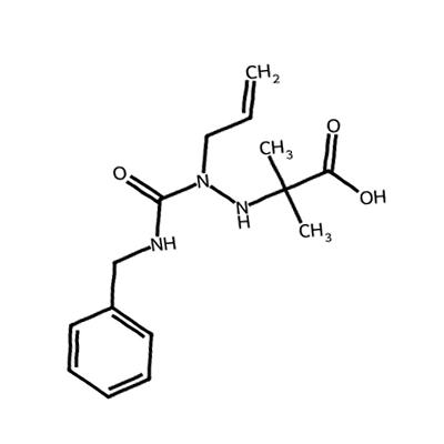 C=CCN(NC(C)(C)C(=O)O)C(=O)NCc1ccccc1